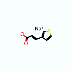 O=C([O-])C=Cc1ccsc1.[Na+]